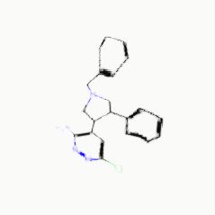 Nc1nnc(Cl)cc1C1CN(Cc2ccccc2)CC1c1ccccc1